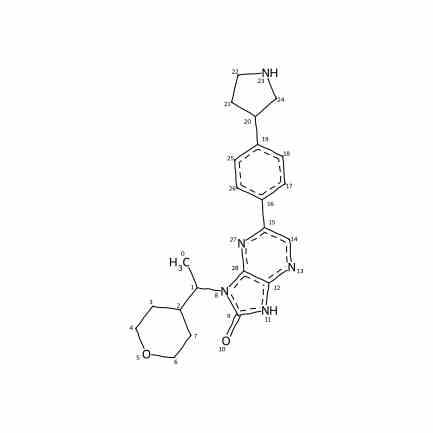 CC(C1CCOCC1)n1c(=O)[nH]c2ncc(-c3ccc(C4CCNC4)cc3)nc21